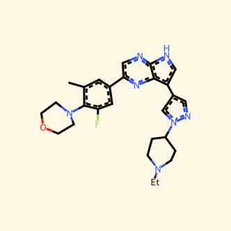 CCN1CCC(n2cc(-c3c[nH]c4ncc(-c5cc(C)c(N6CCOCC6)c(F)c5)nc34)cn2)CC1